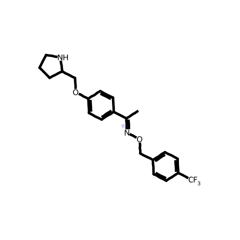 C/C(=N\OCc1ccc(C(F)(F)F)cc1)c1ccc(OCC2CCCN2)cc1